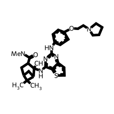 CNC(=O)C1CC2CC(C2(C)C)C1(C)Nc1nc(Nc2ccc(OCCN3CCCC3)cc2)nc2ccsc12